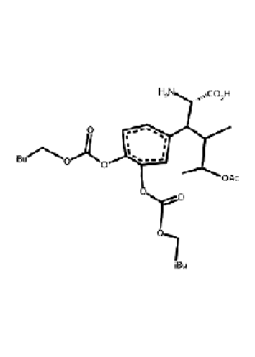 CCC(C)COC(=O)Oc1ccc(C(C(C)C(C)OC(C)=O)[C@H](N)C(=O)O)cc1OC(=O)OCC(C)CC